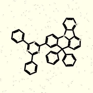 c1ccc(-c2nc(-c3ccccc3)nc(-c3ccc4c(c3)C(c3ccccc3)(c3ccccc3)c3ccnc5c6ncccc6n-4c35)n2)cc1